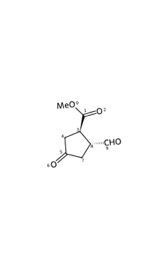 COC(=O)[C@@H]1CC(=O)C[C@H]1C=O